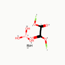 O=C(OF)C(=O)OF.OB(O)O.[RbH]